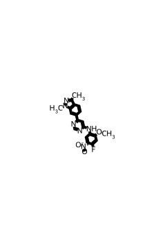 COc1cc(F)c([N+](=O)[O-])cc1Nc1cc(-c2ccc3c(C)nn(C)c3c2)ncn1